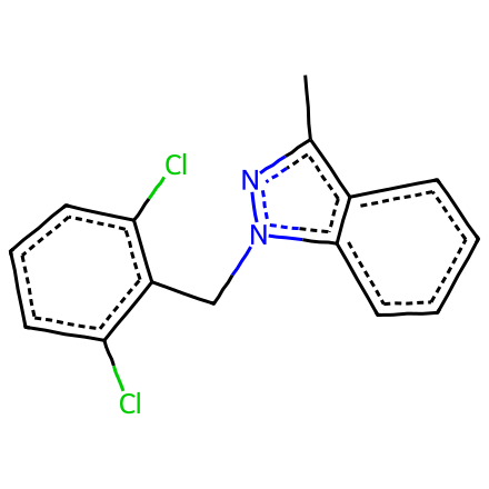 Cc1nn(Cc2c(Cl)cccc2Cl)c2ccccc12